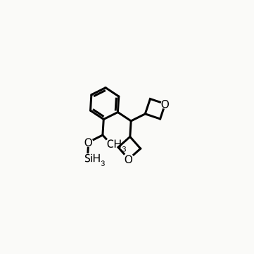 CC(O[SiH3])c1ccccc1C(C1COC1)C1COC1